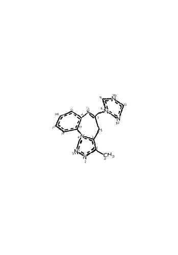 Cc1nnn2c1CC(n1cncn1)=Nc1ccccc1-2